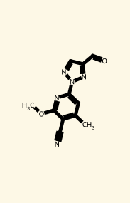 COc1nc(-n2ncc(C=O)n2)cc(C)c1C#N